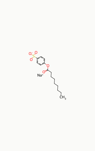 CCCCCCCCC(=O)Oc1ccc(S(=O)(=O)[O-])cc1.[Na+]